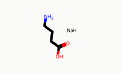 NCCCC(=O)O.[NaH]